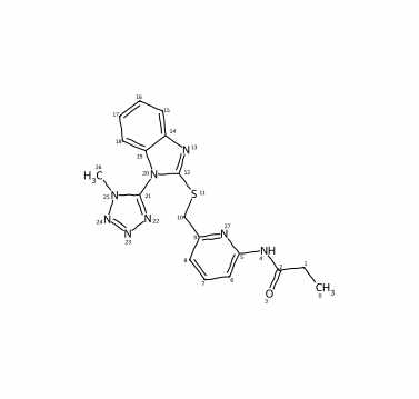 CCC(=O)Nc1cccc(CSc2nc3ccccc3n2-c2nnnn2C)n1